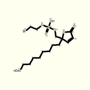 CCCCCCCCCCCCCCCCCCC1(COP(=O)(O)OCCBr)C=CC(=O)O1